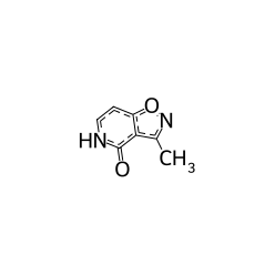 Cc1noc2cc[nH]c(=O)c12